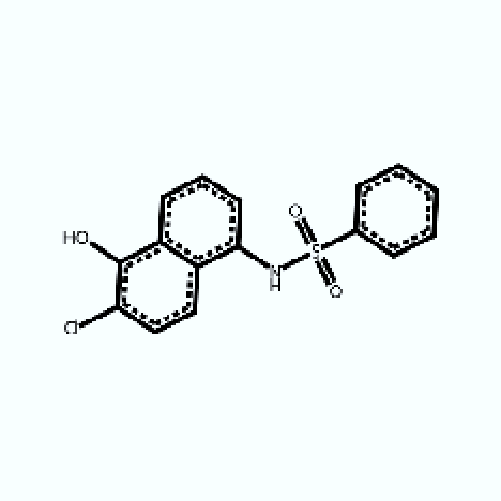 O=S(=O)(Nc1cccc2c(O)c(Cl)ccc12)c1ccccc1